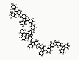 C1=CC(n2c3ccccc3c3c4oc5c(ccc6c5c5ccccc5n6-c5cccc(-c6ccc7sc8ccc(-n9c%10ccccc%10c%10ccccc%109)cc8c7c6)c5)c4ccc32)CC(c2cccc3c4c(n(-c5ccc6oc7ccc(-c8cccc(-n9c%10ccccc%10c%10c%11oc%12c(ccc%13c%12c%12ccccc%12n%13-c%12ccccc%12)c%11ccc%109)c8)cc7c6c5)c23)C=CCC4)=C1